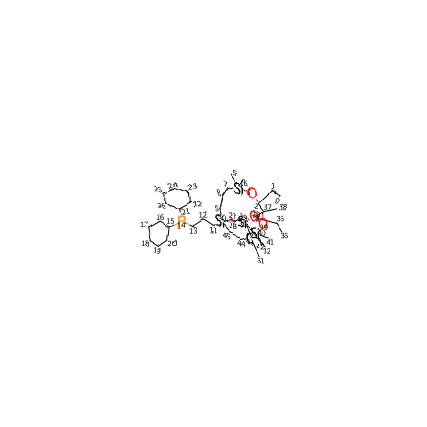 CCC1O[Si](C)(C)CCC[Si]2(CCCP(C3CCCCC3)C3CCCCC3)CCC[Si](C)(C)OC(CC)C1(C)O[Si](C)(C)CCC2